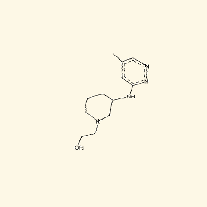 Cc1cnnc(NC2CCCN(CCO)C2)c1